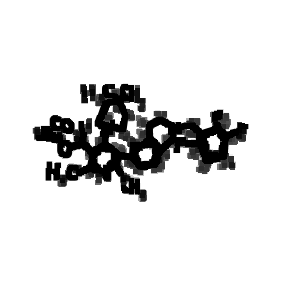 Cc1nc(C)c(C(OC(C)(C)C)C(=O)O)c(N2CCC(C)(C)CC2)c1-c1ccc2c(c1)CCN(Cc1c(F)ccc(F)c1F)C2